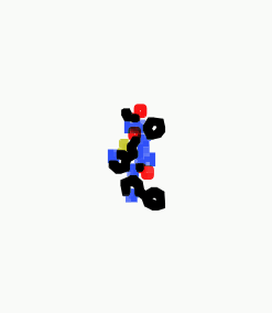 C=CC(=O)N[C@H]1CCCC[C@H]1NC(=O)c1sc2nccc3c2c1NC(=O)N3c1ccnc(-c2ccccc2)c1